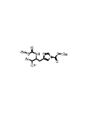 CC(=O)C(O)C(Cc1cn(C(=O)OC(C)(C)C)cn1)NC(=O)OC(C)(C)C